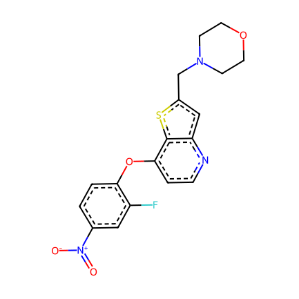 O=[N+]([O-])c1ccc(Oc2ccnc3cc(CN4CCOCC4)sc23)c(F)c1